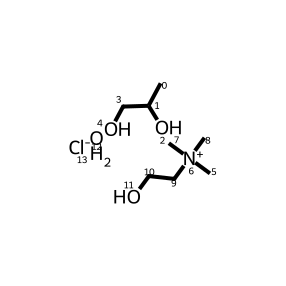 CC(O)CO.C[N+](C)(C)CCO.O.[Cl-]